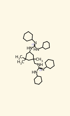 CC1(C)CC(N/C(=N\C2CCCCC2)NC2CCCCC2)CC(C)(CN/C(=N\C2CCCCC2)NC2CCCCC2)C1